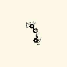 Oc1c(Br)cc(-c2ccc(OCCc3cccc(Cl)c3Cl)nn2)cc1Br